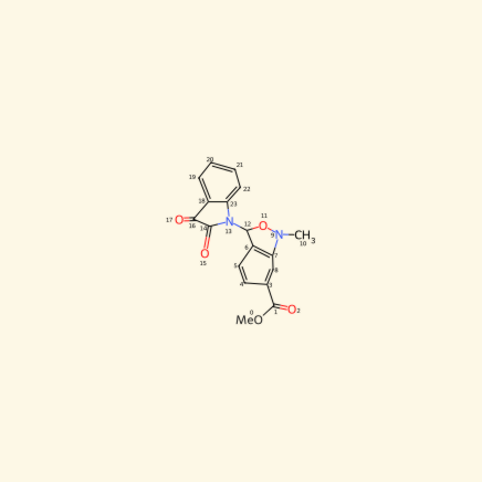 COC(=O)c1ccc2c(c1)N(C)OC2N1C(=O)C(=O)c2ccccc21